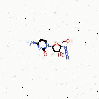 [N-]=[N+]=N[C@]1(CO)O[C@@H](n2ccc(N)nc2=O)[C@@H](F)[C@@H]1O